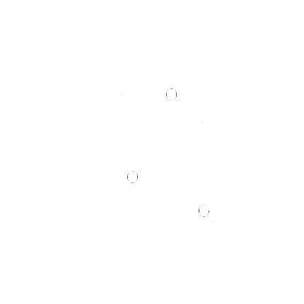 CC1COC(C)C(=O)O1